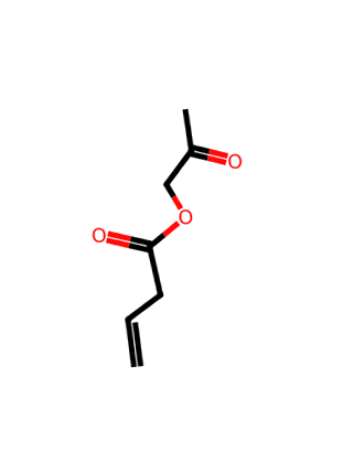 C=CCC(=O)OCC(C)=O